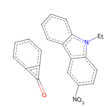 CCn1c2ccccc2c2cc([N+](=O)[O-])ccc21.O=c1c2ccccc12